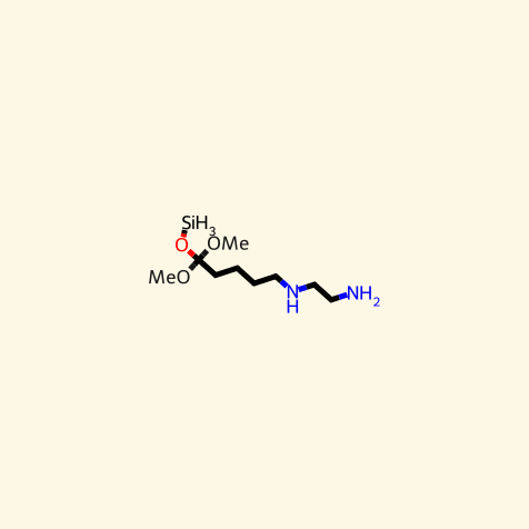 COC(CCCCNCCN)(OC)O[SiH3]